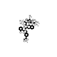 COC(=O)c1ccc(CN(C(=O)C2Cc3ccccc3CN2C(=O)C(NC(=O)C(C)N(C)C(=O)OC(C)(C)C)C(C)(C)C)[C@H](C)c2ccccc2Cl)cc1